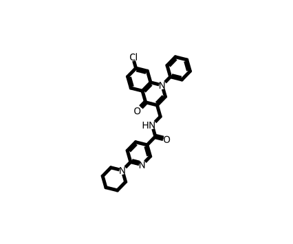 O=C(NCc1cn(-c2ccccc2)c2cc(Cl)ccc2c1=O)c1ccc(N2CCCCC2)nc1